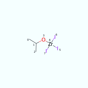 CC(C)[O][Zr]([I])([I])[I]